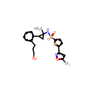 O=C(O)C1(NS(=O)(=O)c2ccc(-c3cc(C(F)(F)F)on3)s2)CC1c1ccccc1CCCO